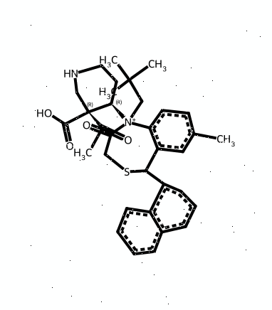 CC(=O)[C@@]1(C(=O)O)CNCC[C@H]1[N+]1(CC(C)(C)C)C(=O)CSC(c2cccc3ccccc23)c2cc(C)ccc21